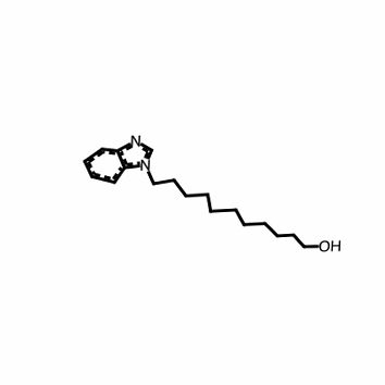 OCCCCCCCCCCCn1cnc2ccccc21